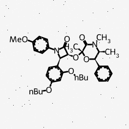 CCCCOc1ccc([C@@H]2[C@H](O[C@@]3(C)O[C@H](c4ccccc4)[C@H](C)N(C)C3=O)C(=O)N2c2ccc(OC)cc2)c(OCCCC)c1